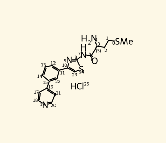 CSCC[C@H](N)C(=O)Nc1nc(-c2cccc(-c3ccncc3)c2)cs1.Cl